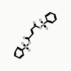 O=C(C=CC(=O)OS(=O)(=O)c1ccccc1)OS(=O)(=O)c1ccccc1